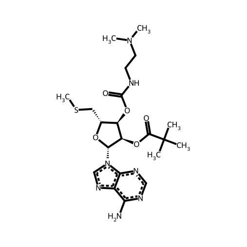 CSC[C@H]1O[C@@H](n2cnc3c(N)ncnc32)[C@H](OC(=O)C(C)(C)C)[C@@H]1OC(=O)NCCN(C)C